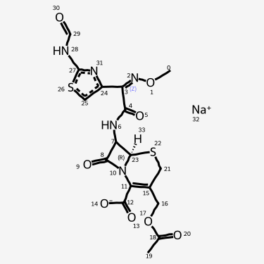 CO/N=C(\C(=O)NC1C(=O)N2C(C(=O)[O-])=C(COC(C)=O)CS[C@H]12)c1csc(NC=O)n1.[Na+]